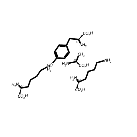 C[C@H](N)C(=O)O.NCCCC[C@H](N)C(=O)O.NCCCC[C@H](N)C(=O)O.N[C@@H](Cc1ccc(O)cc1)C(=O)O